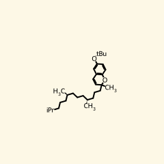 CC(C)CCC[C@@H](C)CCC[C@@H](C)CCCC1(C)C=Cc2cc(OC(C)(C)C)ccc2O1